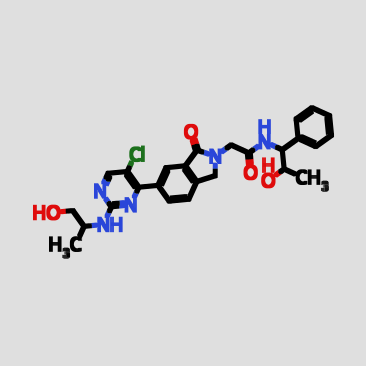 CC(CO)Nc1ncc(Cl)c(-c2ccc3c(c2)C(=O)N(CC(=O)NC(c2ccccc2)C(C)O)C3)n1